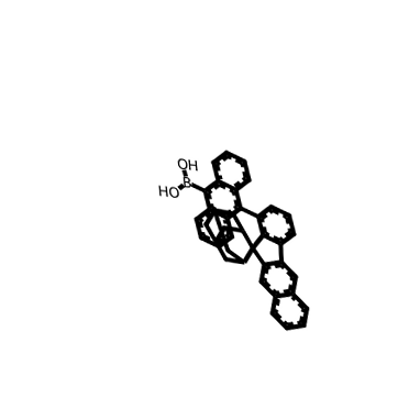 OB(O)c1c2ccccc2c(-c2cccc3c2C2(c4cc5ccccc5cc4-3)C3CC4CC(C3)CC2C4)c2ccccc12